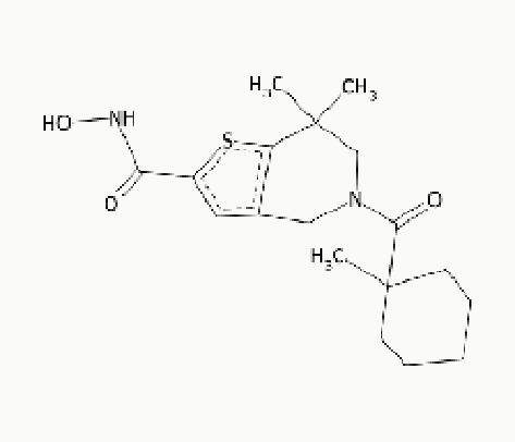 CC1(C(=O)N2Cc3cc(C(=O)NO)sc3C(C)(C)C2)CCCCC1